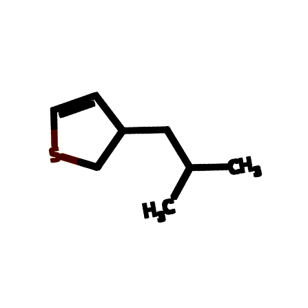 CC(C)CC1C=CSC1